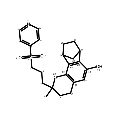 CC1(CCCS(=O)(=O)c2ccncc2)CCc2cc(O)c3c(c2O1)C1CCC3C1